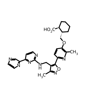 Cc1nc(-c2onc(C)c2CNc2nccc(-c3cnccn3)n2)ccc1OC[C@H]1CCCC[C@@H]1C(=O)O